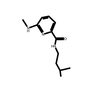 CNc1cccc(C(=O)NCCC(C)C)n1